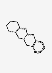 C1=C2C=C3CCCCC3CC2Cc2ccccc21